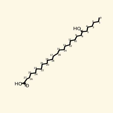 CCCCCCC(O)CCCCCCCCCCCCCCCCCCCCC(=O)O